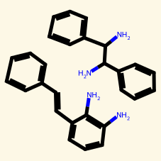 NC(c1ccccc1)C(N)c1ccccc1.Nc1cccc(C=Cc2ccccc2)c1N